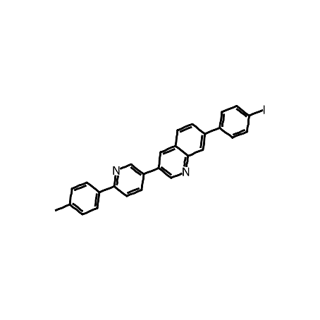 Cc1ccc(-c2ccc(-c3cnc4cc(-c5ccc(I)cc5)ccc4c3)cn2)cc1